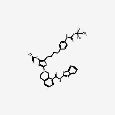 CC(C)(C)OC(=O)Nc1ccc(OCCCc2sc(N3CCc4cccc(C(=O)Nc5nc6ccccc6s5)c4C3)nc2OC(=O)O)cc1